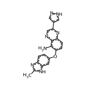 Cc1nc2ccc(Oc3ccc4nc(-c5cn[nH]c5)cnc4c3N)cc2[nH]1